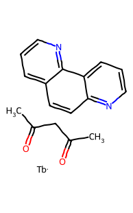 CC(=O)CC(C)=O.[Tb].c1cnc2c(c1)ccc1ncccc12